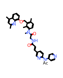 CC(=O)N(c1ccncc1)c1ccc(C=CC(=O)NCC(=O)N(C)c2ccc(C)c(COc3cccc4c(C)cc(C)nc34)c2C)cn1